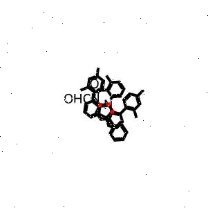 Cc1ccc(-c2cccc3c4cccc(-c5ccc(C)cc5C)c4n(-c4cccc(C)c4C(=O)N(C=O)c4ccc(-c5ccccc5)cc4)c23)c(C)c1